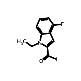 CCn1c(C(=O)I)cc2c(F)cccc21